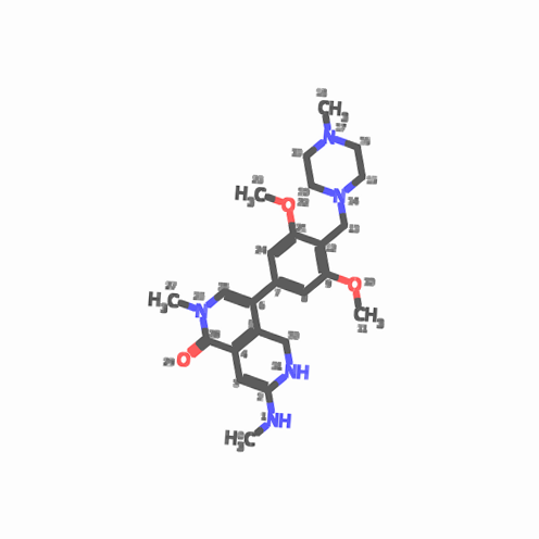 CNC1=Cc2c(c(-c3cc(OC)c(CN4CCN(C)CC4)c(OC)c3)cn(C)c2=O)CN1